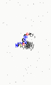 BC(B)(B)C1CN(c2nc(-n3ccc(OCC(C)(C)C(F)(F)F)n3)ccc2C(=O)NSc2cn(C)nc2C)C(C)(C)C1(B)B